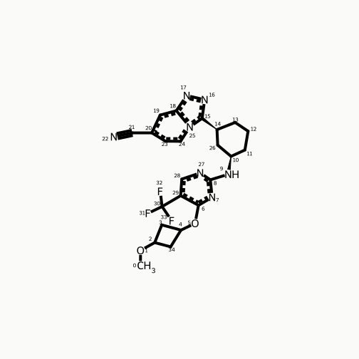 COC1CC(Oc2nc(N[C@@H]3CCC[C@H](c4nnc5cc(C#N)ccn45)C3)ncc2C(F)(F)F)C1